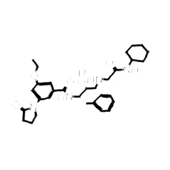 CCOc1cc(C(=O)N[C@@H](Cc2ccccc2)[C@H](O)CN[C@@H](C)C(=O)NC2CCCCC2)cc(N2CCCC2=O)c1